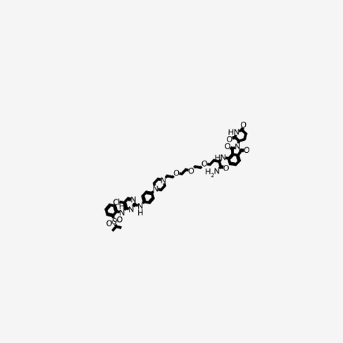 CC(C)S(=O)(=O)c1ccccc1Nc1nc(Nc2ccc(N3CCN(CCOCCOCCOCCC(Nc4cccc5c4C(=O)N(C4CCC(=O)NC4=O)C5=O)C(N)=O)CC3)cc2)ncc1Cl